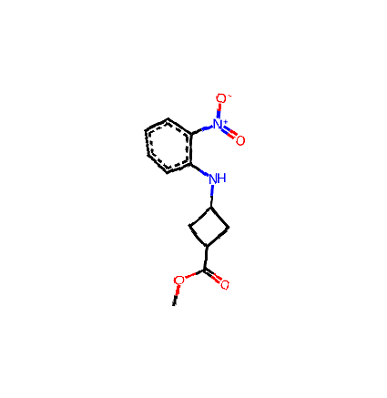 COC(=O)C1CC(Nc2ccccc2[N+](=O)[O-])C1